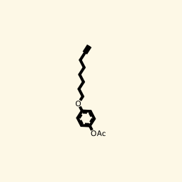 C#CCCCCCCOc1ccc(OC(C)=O)cc1